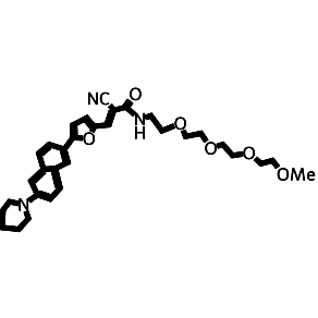 COCCOCCOCCOCCNC(=O)/C(C#N)=C/c1ccc(-c2ccc3cc(N4CCCCC4)ccc3c2)o1